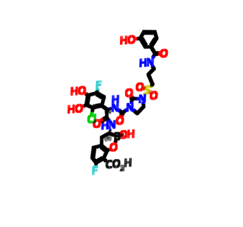 O=C(NCCCS(=O)(=O)N1CCN(C(=O)N[C@@H](C(=O)N[C@H]2Cc3ccc(F)c(C(=O)O)c3OB2O)c2cc(F)c(O)c(O)c2Cl)C1=O)c1cccc(O)c1